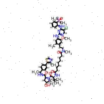 COc1cc(CCN(C)C(=O)CCCCCCCC(=O)N[C@H](C(=O)N2C[C@H](O)CC2C(=O)N[C@@H](C)c2ccc(-c3scnc3C)cc2)C(C)(C)C)c(C)cc1Nc1ncc(Cl)c(Nc2ccccc2P(C)(C)=O)n1